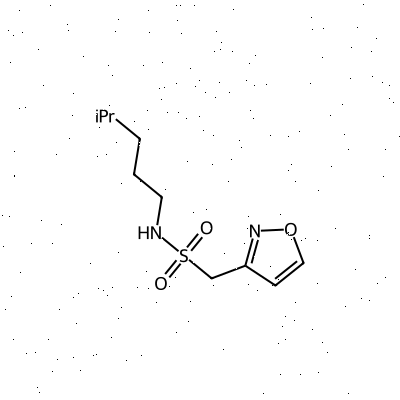 CC(C)CCCNS(=O)(=O)Cc1ccon1